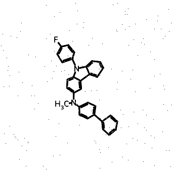 CN(c1ccc(-c2ccccc2)cc1)c1ccc2c(c1)c1ccccc1n2-c1ccc(F)cc1